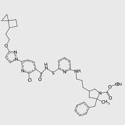 CC(C)(C)OC(=O)N1CC(CCCNc2cccc(SNC(=O)c3ccc(-n4ccc(OCCC5CCC56CC6)n4)nc3Cl)n2)CC1(C)Cc1ccccc1